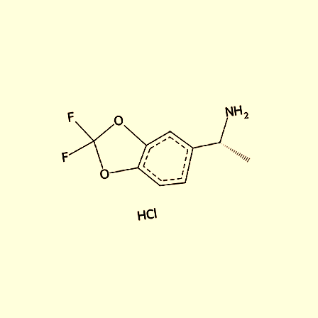 C[C@@H](N)c1ccc2c(c1)OC(F)(F)O2.Cl